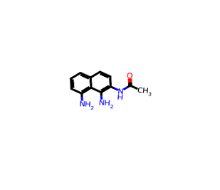 CC(=O)Nc1ccc2cccc(N)c2c1N